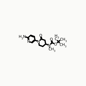 CN(C(=O)OC(C)(C)C)C1CCN(c2ccc(N)nc2)C(=O)C1